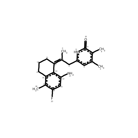 C/C(Cc1cc(C)c(C)c(=O)[nH]1)=C1\CCCc2c(C)c(F)cc(N)c21